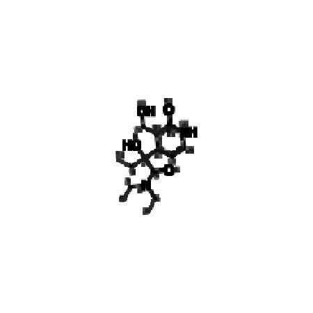 CCN(CC)C(=O)C(O)(CC)c1cc[nH]c(=O)c1CO